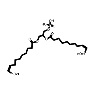 CCCCCCCC/C=C\CCCCCCCC(=O)OCC(COP(=O)(O)O)OC(=O)CCCCCCC/C=C\CCCCCCCC